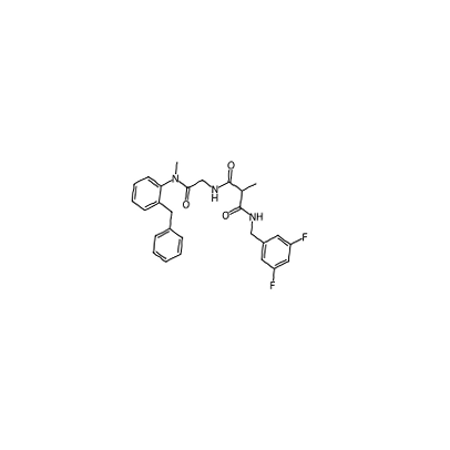 CC(C(=O)NCC(=O)N(C)c1ccccc1Cc1ccccc1)C(=O)NCc1cc(F)cc(F)c1